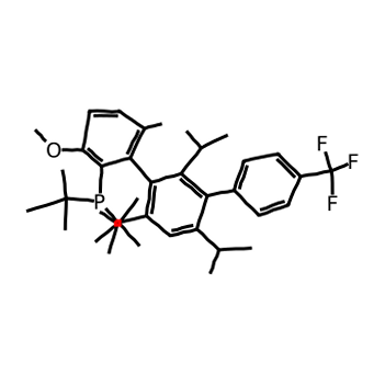 COc1ccc(C)c(-c2c(C(C)C)cc(C(C)C)c(-c3ccc(C(F)(F)F)cc3)c2C(C)C)c1P(C(C)(C)C)C(C)(C)C